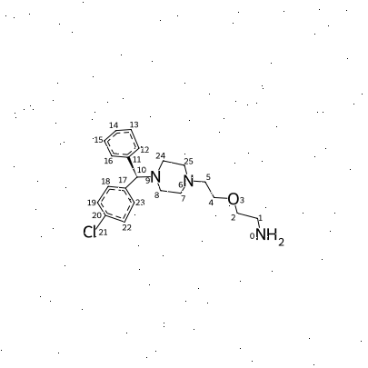 NCCOCCN1CCN([C@H](c2ccccc2)c2ccc(Cl)cc2)CC1